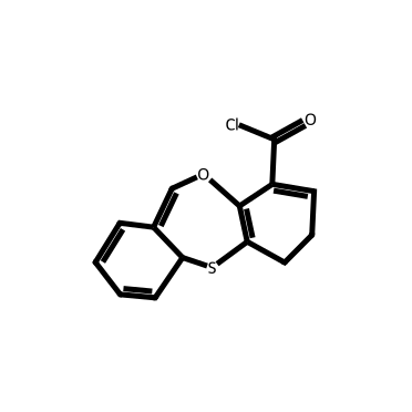 O=C(Cl)C1=CCCC2=C1OC=C1C=CC=CC1S2